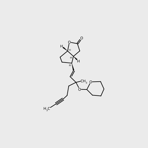 CC#CCCC(C)(C=C[C@H]1CC[C@@H]2OC(=O)C[C@@H]21)OC1CCCCO1